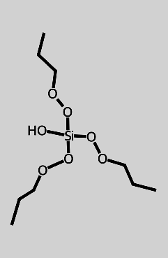 CCCOO[Si](O)(OOCCC)OOCCC